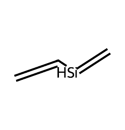 C=C[SiH]=C